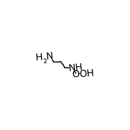 NCCCNOO